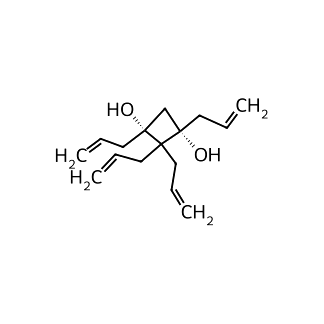 C=CCC1(CC=C)[C@@](O)(CC=C)C[C@@]1(O)CC=C